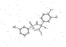 N#Cc1cncc(S(=O)(=O)NC(F)(c2ccc(F)c(Cl)c2)C(F)F)c1